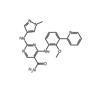 COc1c(Nc2nc(Nc3cnn(C)c3)ncc2C(N)=O)cccc1-c1ccccn1